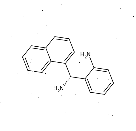 Nc1ccccc1[C@H](N)c1cccc2ccccc12